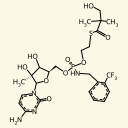 CC(C)(CO)C(=O)SCCOP(=O)(NCc1ccccc1C(F)(F)F)OC[C@H]1OC(n2ccc(N)nc2=O)[C@@](C)(O)C1O